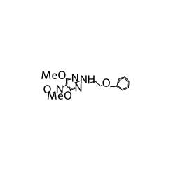 COc1nc(NCCCOCc2ccccc2)nc(OC)c1[N+](=O)[O-]